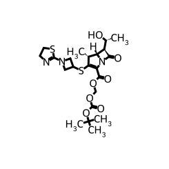 C[C@@H](O)[C@H]1C(=O)N2C(C(=O)OCOC(=O)OC(C)(C)C)=C(SC3CN(C4=NCCS4)C3)[C@H](C)[C@H]12